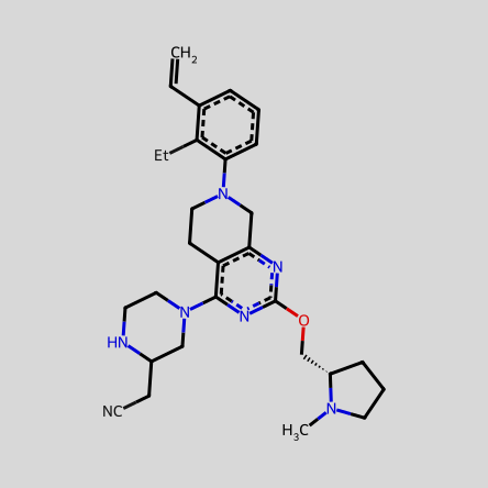 C=Cc1cccc(N2CCc3c(nc(OC[C@@H]4CCCN4C)nc3N3CCNC(CC#N)C3)C2)c1CC